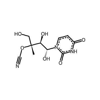 C[C@](CO)(OC#N)[C@@H](O)[C@@H](O)n1ccc(=O)[nH]c1=O